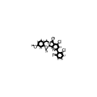 COc1ccc(CN2Cc3nc(-c4c(F)cccc4Cl)cc(Cl)c3C2=O)c(OC)c1